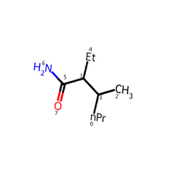 CCCC(C)C(CC)C(N)=O